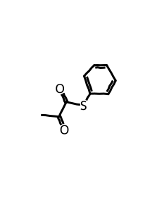 CC(=O)C(=O)Sc1ccccc1